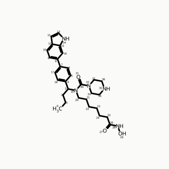 CCCC(c1ccc(-c2ccc3cc[nH]c3c2)cc1)N(CCCCCCC(=O)NO)C(=O)N1CCNCC1